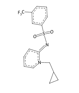 O=S(=O)(/N=c1\ccccn1CC1CC1)c1cccc(C(F)(F)F)c1